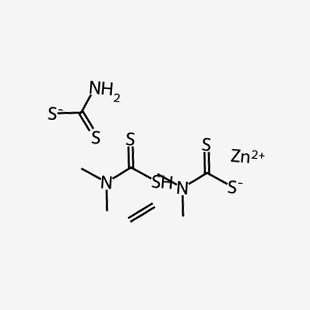 C=C.CN(C)C(=S)S.CN(C)C(=S)[S-].NC(=S)[S-].[Zn+2]